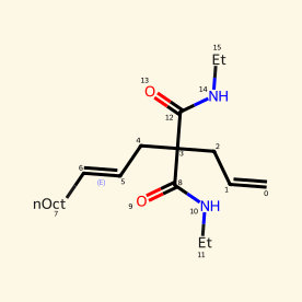 C=CCC(C/C=C/CCCCCCCC)(C(=O)NCC)C(=O)NCC